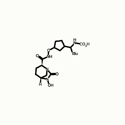 CC(C)(C)C(NC(=O)O)C1CCC(ONC(=O)[C@@H]2CC[C@@H]3CN2C(=O)N3O)C1